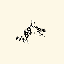 C=CC(OCCOC(C)Oc1ccc(C(c2ccc(OC(C)(CC)CC)cc2)(C(F)(F)F)C(F)(F)F)cc1)OC(C)(C)CC